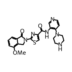 COc1cccc2c1CN(c1nc(C(=O)Nc3cnccc3N3CCNCC3)cs1)C2=O